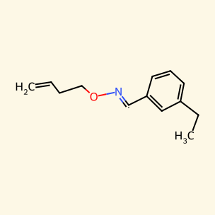 C=CCCON=[C]c1cccc(CC)c1